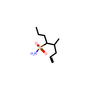 C=CCC(C)C(CCC)S(N)(=O)=O